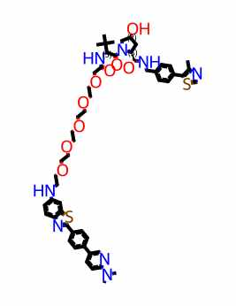 Cc1ncsc1-c1ccc(CNC(=O)[C@@H]2C[C@@H](O)CN2C(=O)[C@@H](NC(=O)COCCOCCOCCOCCOCCNc2ccc3nc(-c4ccc(-c5ccc(N(C)C)nc5)cc4)sc3c2)C(C)(C)C)cc1